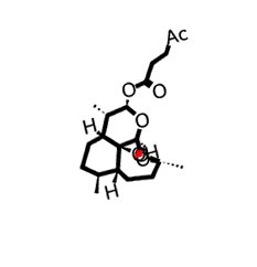 CC(=O)CCC(=O)O[C@@H]1O[C@H]2O[C@]3(C)CC[C@@H]4[C@@H](C)CC[C@H]([C@@H]1C)[C@]24OO3